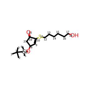 CC(C)(C)[Si](C)(C)OC1C=C(SCCCCCCO)C(=O)C1